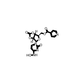 O=C1O[C@@H]2[C@H](O1)[C@@H](COC(=O)c1ccncc1)O[C@H]2n1ccc(NO)nc1=O